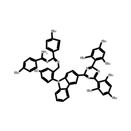 CC(C)(C)c1ccc(/C(N)=N/C(=N\Cc2cc(C#N)ccc2-n2c3ccccc3c3cc(-c4nc(-c5c(C(C)(C)C)cc(C(C)(C)C)cc5C(C)(C)C)nc(-c5c(C(C)(C)C)cc(C(C)(C)C)cc5C(C)(C)C)n4)ccc32)c2ccc(C(C)(C)C)cc2)cc1